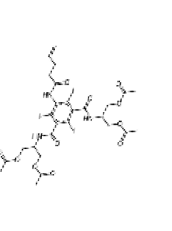 C=CCCC(=O)Nc1c(I)c(C(=O)NC(COC(C)=O)COC(C)=O)c(I)c(C(=O)NC(COC(C)=O)COC(C)=O)c1I